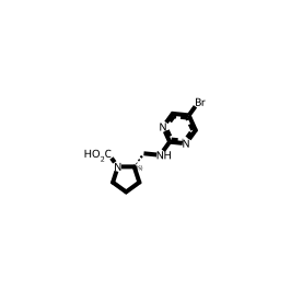 O=C(O)N1CCC[C@H]1CNc1ncc(Br)cn1